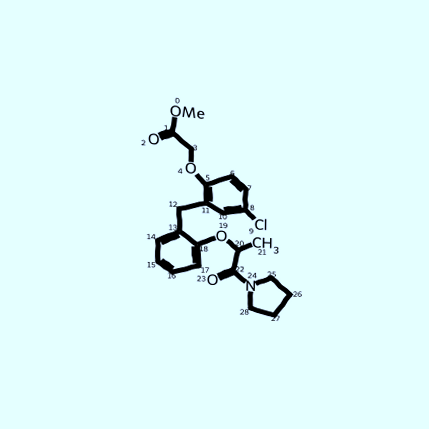 COC(=O)COc1ccc(Cl)cc1Cc1ccccc1OC(C)C(=O)N1CCCC1